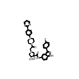 CO[C@@]1(C(=O)Nc2ccc3[nH]nc(-c4ccc(F)cc4)c3c2)CCN(CC(=O)N2CCN(c3ccc(-c4ncccn4)cc3)CC2)C1